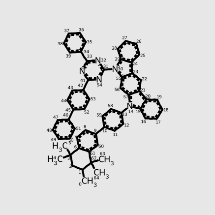 CC1CC(C)(C)c2ccc(-c3ccc(-n4c5ccccc5c5cc6c7ccccc7n(-c7nc(-c8ccccc8)nc(-c8ccc(-c9ccccc9)cc8)n7)c6cc54)cc3)cc2C1(C)C